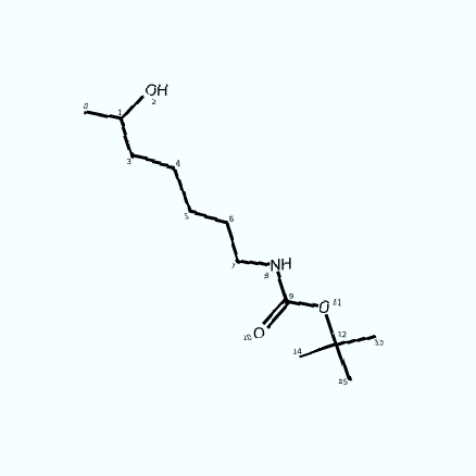 CC(O)CCCCCNC(=O)OC(C)(C)C